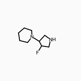 FC1CNCC1N1CCCCC1